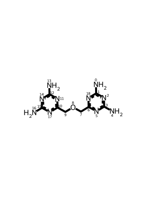 Nc1nc(N)nc(COCc2nc(N)nc(N)n2)n1